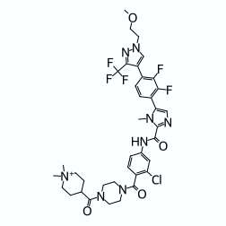 COCCn1cc(-c2ccc(-c3cnc(C(=O)Nc4ccc(C(=O)N5CCN(C(=O)C6CC[N+](C)(C)CC6)CC5)c(Cl)c4)n3C)c(F)c2F)c(C(F)(F)F)n1